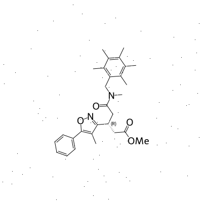 COC(=O)C[C@@H](CC(=O)N(C)Cc1c(C)c(C)c(C)c(C)c1C)c1noc(-c2ccccc2)c1C